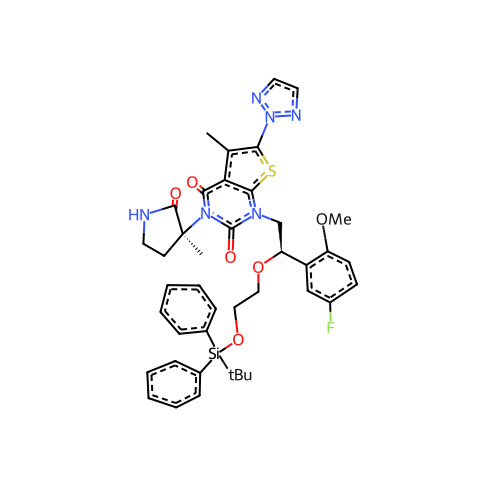 COc1ccc(F)cc1[C@H](Cn1c(=O)n([C@@]2(C)CCNC2=O)c(=O)c2c(C)c(-n3nccn3)sc21)OCCO[Si](c1ccccc1)(c1ccccc1)C(C)(C)C